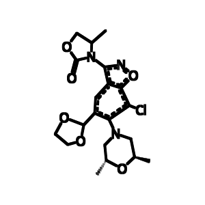 CC1COC(=O)N1c1noc2c(Cl)c(N3C[C@@H](C)O[C@H](C)C3)c(C3OCCO3)cc12